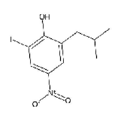 CC(C)Cc1cc([N+](=O)[O-])cc(I)c1O